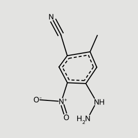 Cc1cc(NN)c([N+](=O)[O-])cc1C#N